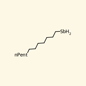 CCCCCCCCCCC[CH2][SbH2]